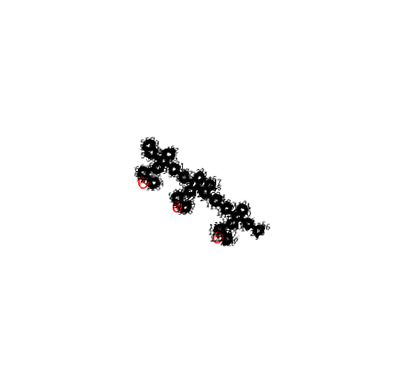 c1ccc(-c2ccc(-c3c4ccccc4c(-c4ccc(-c5ccc(-c6ccc(-c7c8ccccc8c(-c8ccc(-c9ccc(-c%10c%11ccccc%11c(-c%11ccc%12ccccc%12c%11)c%11cc(-c%12cccc%13oc%14ccccc%14c%12%13)ccc%10%11)cc9)cc8)c8cc(-c9cccc%10oc%11ccccc%11c9%10)ccc78)c7ccccc67)cc5)cc4)c4cc(-c5cccc6oc7ccccc7c56)ccc34)cc2)cc1